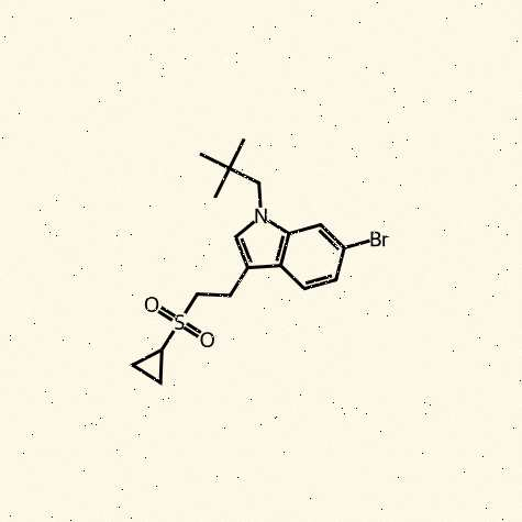 CC(C)(C)Cn1cc(CCS(=O)(=O)C2CC2)c2ccc(Br)cc21